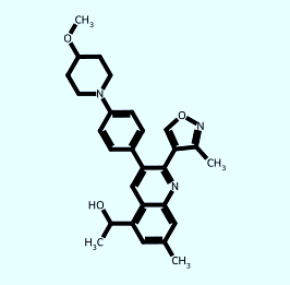 COC1CCN(c2ccc(-c3cc4c(C(C)O)cc(C)cc4nc3-c3conc3C)cc2)CC1